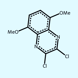 COc1ccc(OC)c2nc(Cl)c(Cl)nc12